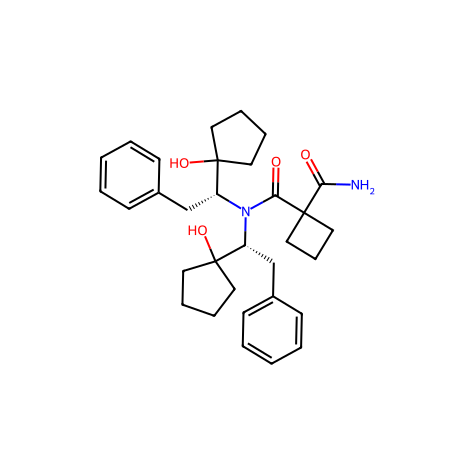 NC(=O)C1(C(=O)N([C@H](Cc2ccccc2)C2(O)CCCC2)[C@H](Cc2ccccc2)C2(O)CCCC2)CCC1